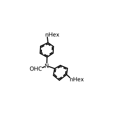 CCCCCCc1ccc(N(C=O)c2ccc(CCCCCC)cc2)cc1